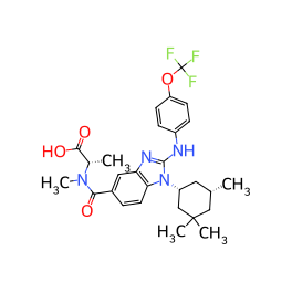 C[C@H]1C[C@@H](n2c(Nc3ccc(OC(F)(F)F)cc3)nc3cc(C(=O)N(C)[C@@H](C)C(=O)O)ccc32)CC(C)(C)C1